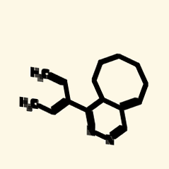 C=C/C(=C\C)C1=NN=C/C2=C/CCCCCC12